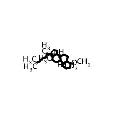 C=CCC1[CH]CC[C@@]2(C)C1CC[C@H]1[C@@H]3CC[C@H]([C@H](C)CCCC(C)C)[C@@]3(C)CC[C@@H]12